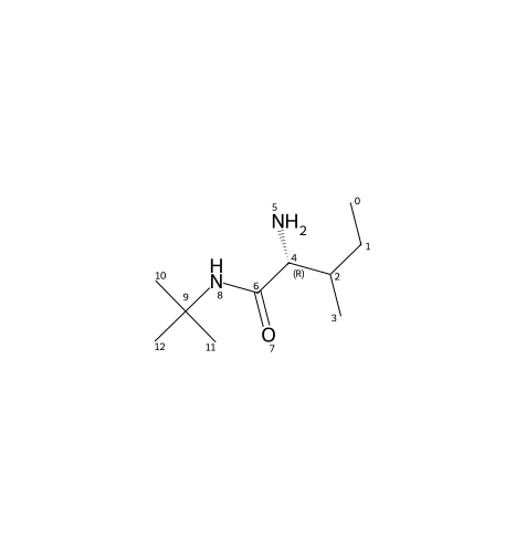 CCC(C)[C@@H](N)C(=O)NC(C)(C)C